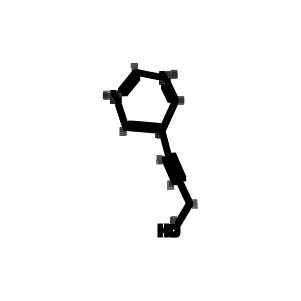 OCC#Cc1cncnc1